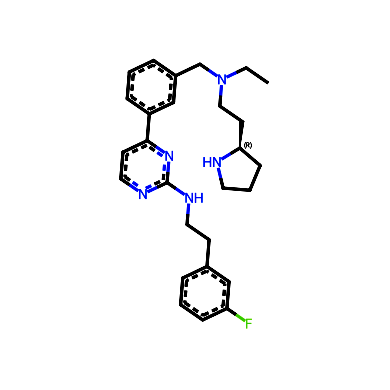 CCN(CC[C@H]1CCCN1)Cc1cccc(-c2ccnc(NCCc3cccc(F)c3)n2)c1